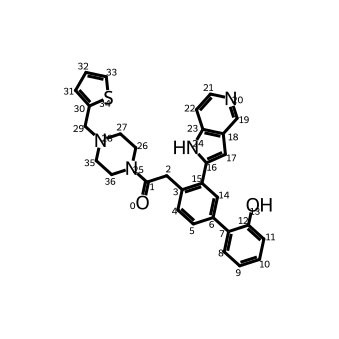 O=C(Cc1ccc(-c2ccccc2O)cc1-c1cc2cnccc2[nH]1)N1CCN(Cc2cccs2)CC1